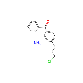 N.O=C(c1ccccc1)c1ccc(CCCCl)cc1